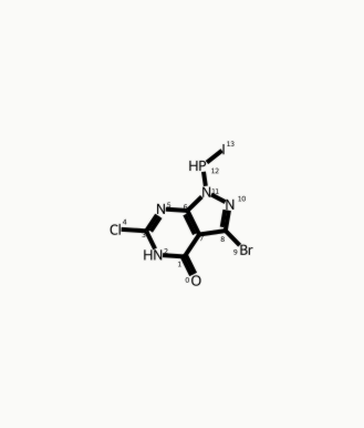 O=c1[nH]c(Cl)nc2c1c(Br)nn2PI